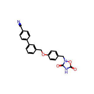 N#Cc1ccc(-c2cccc(COc3ccc(Cn4oc(=O)[nH]c4=O)cc3)c2)cc1